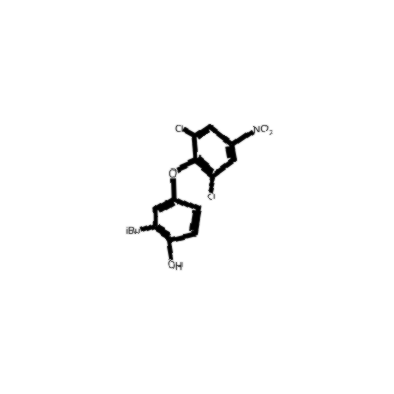 CCC(C)c1cc(Oc2c(Cl)cc([N+](=O)[O-])cc2Cl)ccc1O